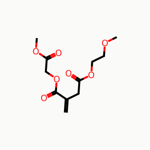 C=C(CC(=O)OCCOC)C(=O)OCC(=O)OC